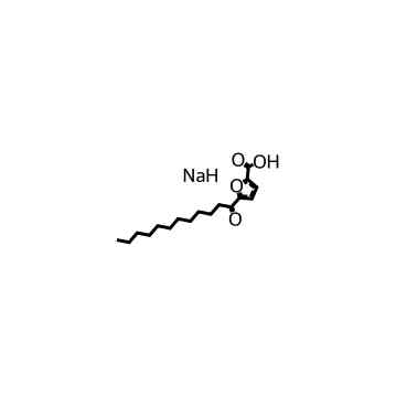 CCCCCCCCCCCC(=O)c1ccc(C(=O)O)o1.[NaH]